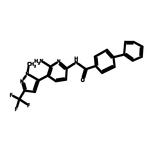 Cn1nc(C(F)(F)F)cc1-c1ccc(NC(=O)c2ccc(-c3ccccc3)cc2)nc1N